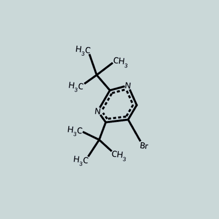 CC(C)(C)c1ncc(Br)c(C(C)(C)C)n1